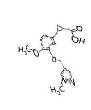 COc1ccc(C2CC2C(=O)O)cc1OCc1cnn(C)c1